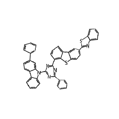 c1ccc(-c2ccc3c4ccccc4n(-c4nc(-c5ccccc5)nc(-c5cccc6c5sc5ccc(-c7nc8ccccc8s7)cc56)n4)c3c2)cc1